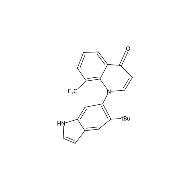 CC(C)(C)c1cc2cc[nH]c2cc1-n1ccc(=O)c2cccc(C(F)(F)F)c21